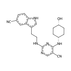 N#Cc1ccc2[nH]cc(CCNc3ncc(C#N)c(N[C@H]4CC[C@@H](O)CC4)n3)c2c1